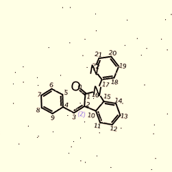 O=C1/C(=C\c2ccccc2)c2ccccc2N1c1ccccn1